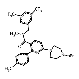 CCCN1CCN(c2ccc(C(=O)N(C)Cc3cc(C(F)(F)F)cc(C(F)(F)F)c3)c(-c3ccc(C)cc3)n2)CC1